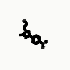 Cc1nc(-c2ccc([N+](=O)[O-])cc2)cn1CCCl